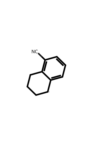 N#Cc1cccc2c1CCC[CH]2